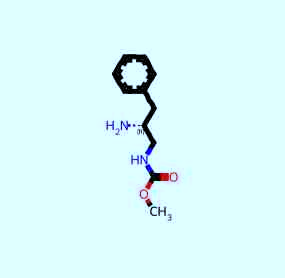 COC(=O)NC[C@H](N)Cc1ccccc1